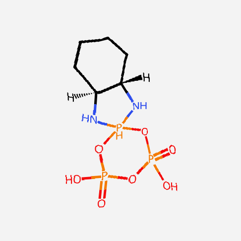 O=P1(O)OP(=O)(O)O[PH]2(N[C@H]3CCCC[C@@H]3N2)O1